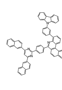 c1cc(-c2cccc3c2nc(-c2ccc(-c4nc(-c5ccc6ccccc6c5)cc(-c5ccc6ccccc6c5)n4)cc2)c2ccc4ccccc4c23)cc(-n2c3ccccc3c3ccccc32)c1